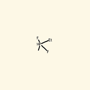 CC[PH](C)(F)F